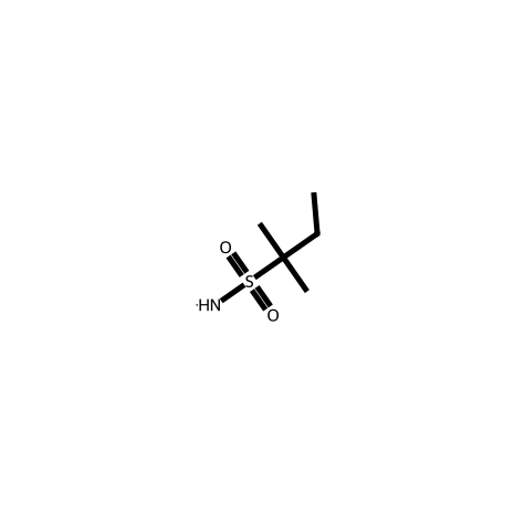 CCC(C)(C)S([NH])(=O)=O